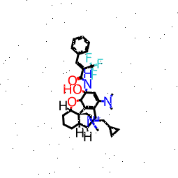 CN(C)C1=CC(O)(NC(=O)C(=Cc2ccccc2)C(F)(F)F)C2O[C@H]3CCC[C@H]4[C@H]5CC1=C2[C@@]34CC[N+]5(C)CC1CC1